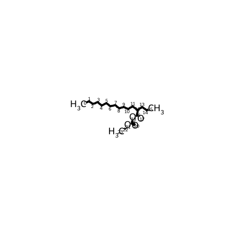 CCCCCCCCCCCCC(CCC)C(=O)OC(=O)OCC